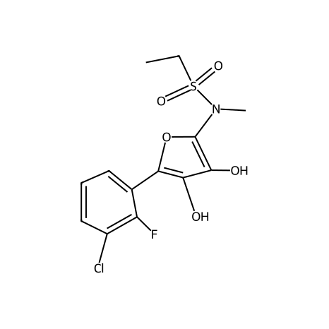 CCS(=O)(=O)N(C)c1oc(-c2cccc(Cl)c2F)c(O)c1O